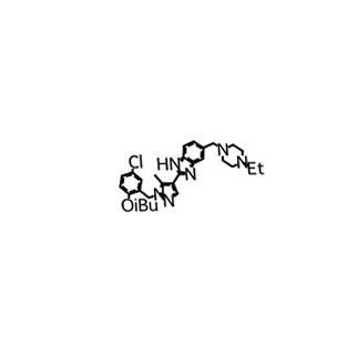 CCN1CCN(Cc2ccc3[nH]c(-c4cnn(Cc5cc(Cl)ccc5OCC(C)C)c4C)nc3c2)CC1